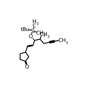 CC#CCC(C)[C@@H](/C=C/C1CCC(=O)C1)O[Si](C)(C)C(C)(C)C